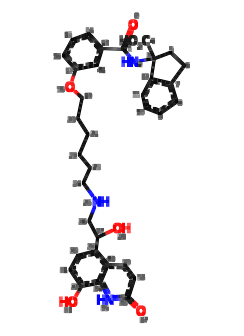 O=C(NC1(C(=O)O)CCc2ccccc21)c1cccc(OCCCCCCNCC(O)c2ccc(O)c3[nH]c(=O)ccc23)c1